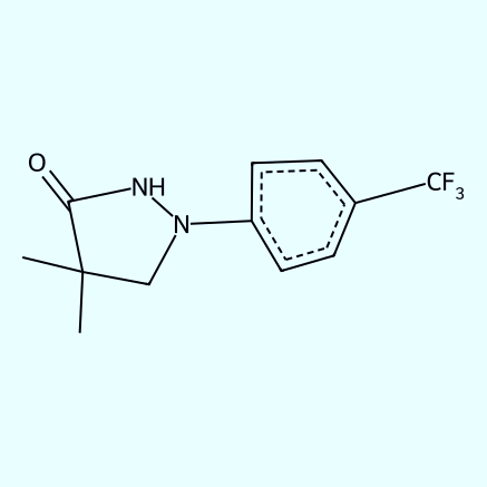 CC1(C)CN(c2ccc(C(F)(F)F)cc2)NC1=O